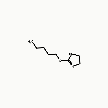 CCCCCSC1=NCCN1